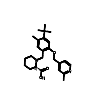 Cc1cc(COc2cc(C(C)(C)C)c(C)cc2CN2CCCC[C@H]2C(=O)O)ccn1